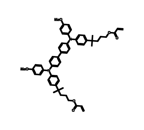 C=CC(=O)OCCCC(C)(C)c1ccc(N(c2ccc(OC)cc2)c2ccc(-c3ccc(N(c4ccc(OC)cc4)c4ccc(C(C)(C)CCCOC(=O)C=C)cc4)cc3)cc2)cc1